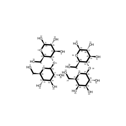 OC[C@H]1O[C@@H](O[C@H]2[C@H](O)[C@@H](O)[C@H](O)O[C@@H]2CO)[C@H](O)[C@@H](O)[C@@H]1O.OC[C@H]1O[C@@H](O[C@H]2[C@H](O)[C@@H](O)[C@H](O)O[C@@H]2CO)[C@H](O)[C@@H](O)[C@H]1O